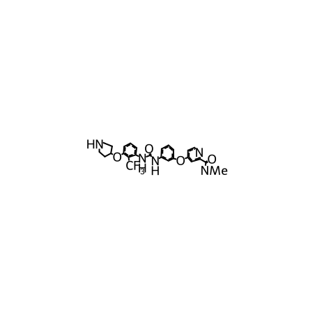 CNC(=O)c1cc(Oc2cccc(NC(=O)Nc3cccc(OC4CCNCC4)c3C(F)(F)F)c2)ccn1